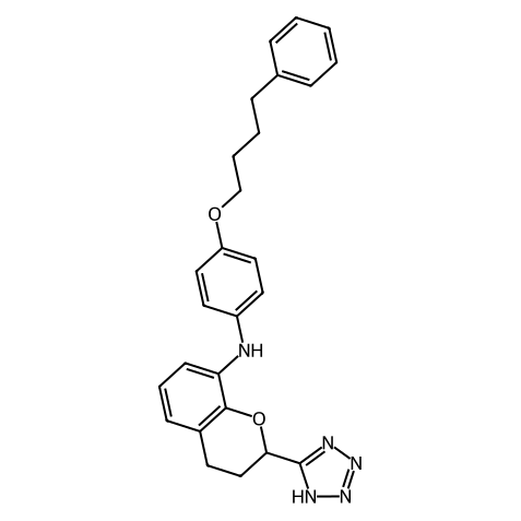 c1ccc(CCCCOc2ccc(Nc3cccc4c3OC(c3nnn[nH]3)CC4)cc2)cc1